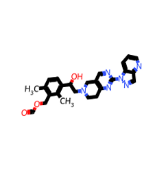 Cc1ccc(C(O)CN2CCc3nc(-n4ncc5ncccc54)ncc3C2)c(C)c1COC=O